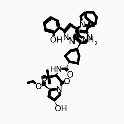 CCOC(=O)[C@@H]1C[C@@H](O)CN1C(=O)[C@@H](NC(=O)[C@H]1CC[C@H](c2cnc(C3CC4CCC3CN(c3cc(-c5ccccc5O)nnc3N)C4)nc2)CC1)C(C)(C)C